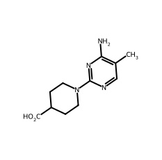 Cc1cnc(N2CCC(C(=O)O)CC2)nc1N